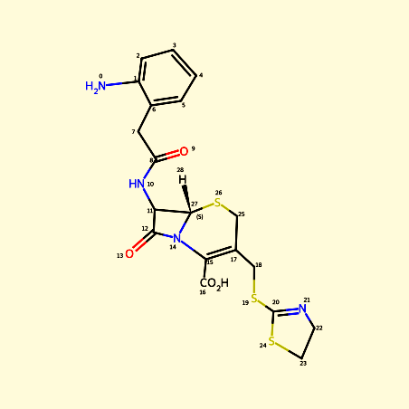 Nc1ccccc1CC(=O)NC1C(=O)N2C(C(=O)O)=C(CSC3=NCCS3)CS[C@@H]12